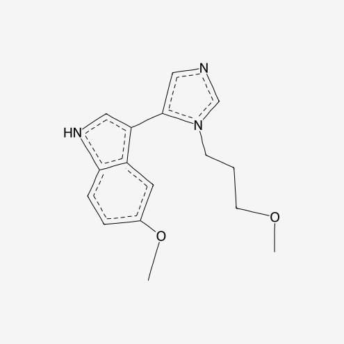 COCCCn1cncc1-c1c[nH]c2ccc(OC)cc12